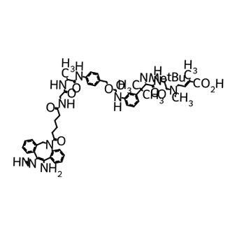 CN[C@H](C(=O)NC(C(=O)N(C)C/C=C(\C)C(=O)O)C(C)(C)C)C(C)(C)c1cccc(NC(=O)OCc2ccc(NC(=O)[C@H](C)NC(=O)CNC(=O)CCCCC(=O)N3Cc4ccccc4/C(N=N)=C(/N)c4ccccc43)cc2)c1